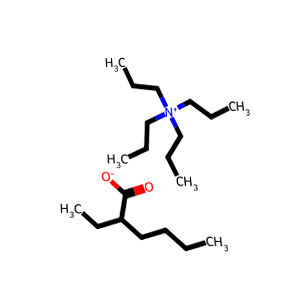 CCCCC(CC)C(=O)[O-].CCC[N+](CCC)(CCC)CCC